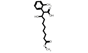 COC(=O)CCCCCCC(O)C(C(=O)O)c1ccccc1C